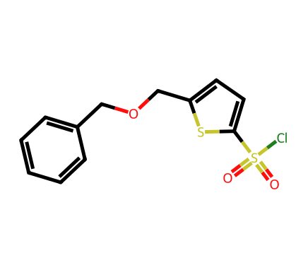 O=S(=O)(Cl)c1ccc(COCc2ccccc2)s1